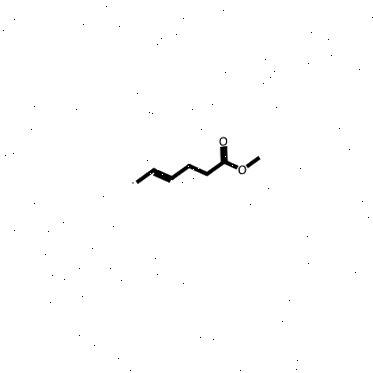 [CH2]C=CCCC(=O)OC